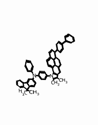 Cc1c(C)n(-c2ccc(N(c3ccccc3)c3ccc4c(c3)-c3ccccc3C4(C)C)cc2)c2c1cc1ccc3c(-c4ccc(-c5ccccc5)cc4)ccc4ccc2c1c43